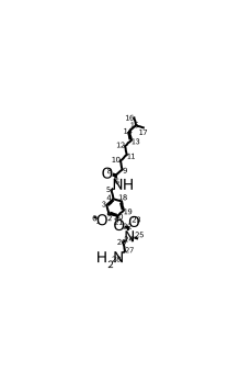 COc1cc(CNC(=O)CCCC/C=C/C(C)C)ccc1OC(=O)N(C)CCN